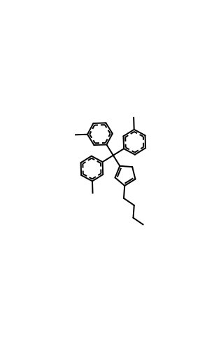 CCCCC1=CCC(C(c2cccc(C)c2)(c2cccc(C)c2)c2cccc(C)c2)=C1